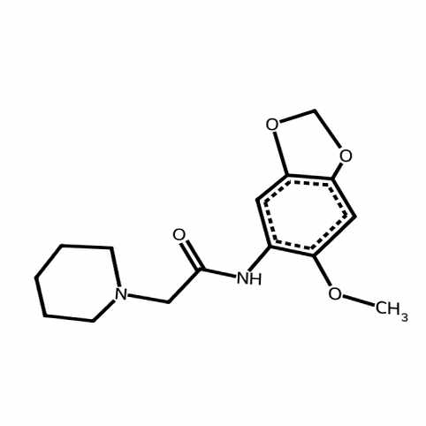 COc1cc2c(cc1NC(=O)CN1CCCCC1)OCO2